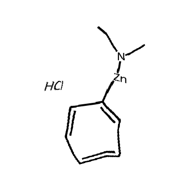 C[N](C)[Zn][c]1ccccc1.Cl